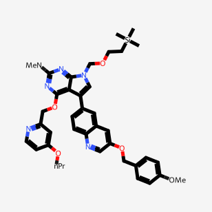 [CH2]CCOc1ccnc(COc2nc(NC)nc3c2c(-c2ccc4ncc(OCc5ccc(OC)cc5)cc4c2)cn3COCC[Si](C)(C)C)c1